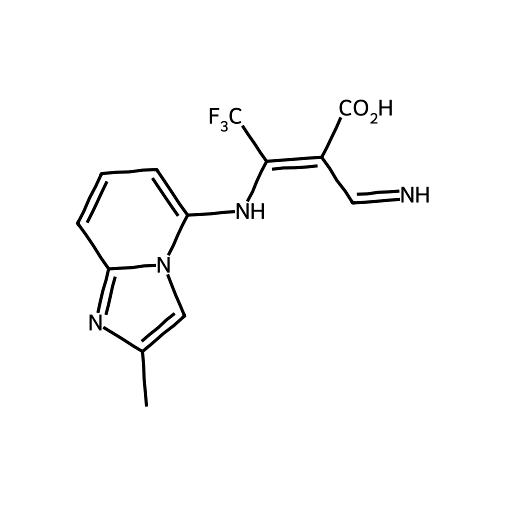 Cc1cn2c(N/C(=C(\C=N)C(=O)O)C(F)(F)F)cccc2n1